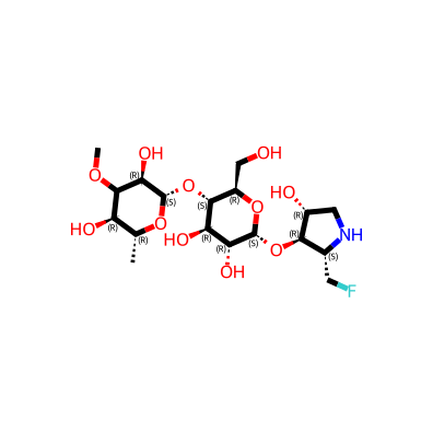 COC1[C@@H](O)[C@H](O[C@H]2[C@H](O)[C@@H](O)[C@@H](O[C@H]3[C@H](O)CN[C@@H]3CF)O[C@@H]2CO)O[C@H](C)[C@H]1O